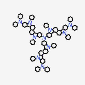 c1ccc(N(c2ccccc2)c2ccc3c4c5ccc6c(c5ccc4n(-c4ccccc4)c3c2)c2ccc(N(c3ccc4c5c7ccc8c(c7ccc5n(-c5ccccc5)c4c3)c3ccc(N(c4ccccc4)c4ccccc4)cc3n8-c3ccccc3)c3ccc4c5c7ccc8c(c7ccc5n(-c5ccccc5)c4c3)c3ccc(N(c4ccccc4)c4ccccc4)cc3n8-c3ccccc3)cc2n6-c2ccccc2)cc1